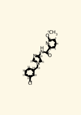 COc1cccc(C(=O)Nc2cn(Cc3cccc(Cl)c3)cn2)n1